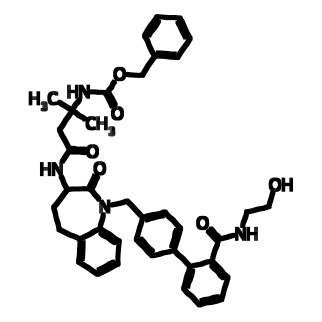 CC(C)(CC(=O)NC1CCc2ccccc2N(Cc2ccc(-c3ccccc3C(=O)NCCO)cc2)C1=O)NC(=O)OCc1ccccc1